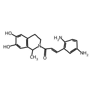 CC1c2cc(O)c(O)cc2CCN1C(=O)C=Cc1cc(N)ccc1N